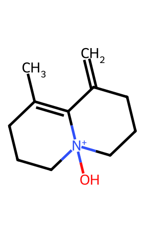 C=C1CCC[N+]2(O)CCCC(C)=C12